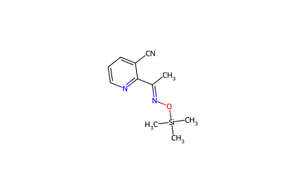 C/C(=N\O[Si](C)(C)C)c1ncccc1C#N